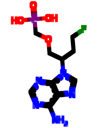 Nc1ncnc2c1ncn2C(CCF)COCP(=O)(O)O